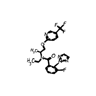 CCN(C(=O)c1cccc(F)c1-n1nccn1)C(C)COc1ccc(C(F)(F)F)cn1